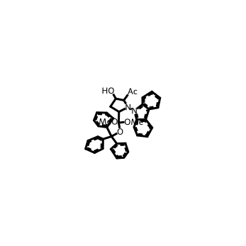 COC(OC)(OC(c1ccccc1)(c1ccccc1)c1ccccc1)C1CC(O)C(C(C)=O)N1n1c2ccccc2c2ccccc21